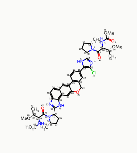 COC(=O)N[C@H](C(=O)N1[C@@H](C)CC[C@H]1c1nc(Cl)c(-c2ccc3c(c2)COc2cc4c(ccc5nc([C@@H]6CC[C@H](C)N6C(=O)[C@@H](NC(=O)O)[C@@H](C)OC)[nH]c54)cc2-3)[nH]1)[C@@H](C)OC